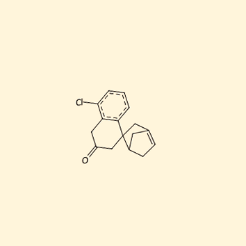 O=C1Cc2c(Cl)cccc2C2(C1)CC1=CCC2C1